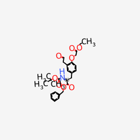 CCOC(=O)COc1ccc(C[C@H](NC(=O)OC(C)(C)C)C(=O)OCc2ccccc2)cc1CC=O